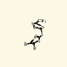 FC(F)(F)c1nnc(Sc2nc(Br)c(Br)s2)s1